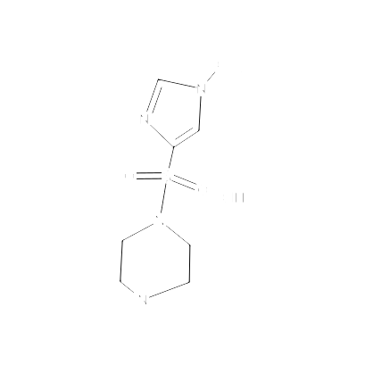 Cl.Cn1cnc(S(=O)(=O)N2CCNCC2)c1